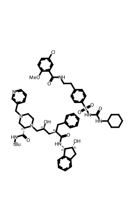 CC(C)(C)NC(=O)[C@@H]1CN(Cc2cccnc2)CCN1C[C@@H](O)C[C@@H](Cc1ccccc1)C(=O)N[C@H]1c2ccccc2C[C@H]1O.COc1ccc(Cl)cc1C(=O)NCCc1ccc(S(=O)(=O)NC(=O)NC2CCCCC2)cc1